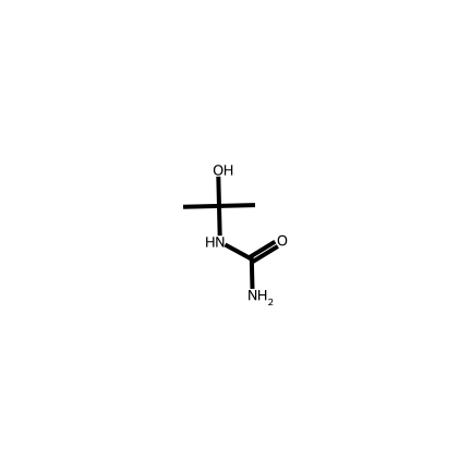 CC(C)(O)NC(N)=O